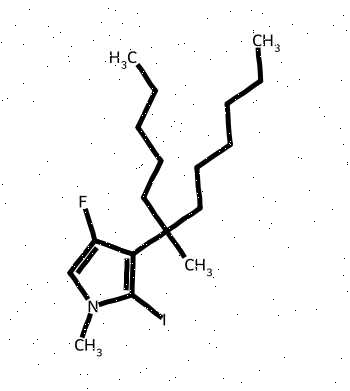 CCCCCCC(C)(CCCCC)c1c(F)cn(C)c1I